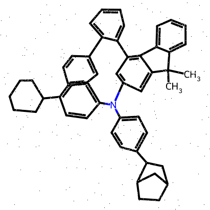 CC1(C)c2ccccc2-c2c(-c3ccccc3-c3ccccc3)cc(N(c3ccc(C4CCCCC4)cc3)c3ccc(C4CC5CCC4C5)cc3)cc21